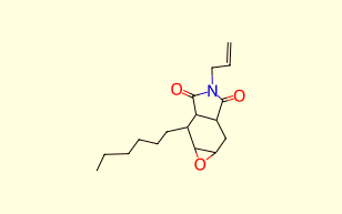 C=CCN1C(=O)C2CC3OC3C(CCCCCC)C2C1=O